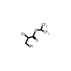 CCC(CC(C)C)C(=O)OC(C(F)(F)F)C(F)(F)F